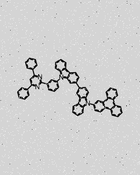 c1ccc(-c2cc(-c3ccccc3)nc(-c3cccc(-n4c5ccccc5c5ccc(-c6ccc7c(c6)c6ccccc6n7-c6ccc7c8ccccc8c8ccccc8c7c6)cc54)c3)n2)cc1